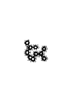 c1ccc(-c2cc(-c3ccccc3)nc(-c3cccc(-c4ccc5cccc(-c6cccc(-c7cc(-c8ccccc8)cc(-c8ccccc8)n7)c6)c5c4)c3)c2)cc1